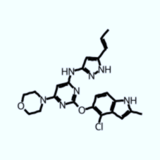 C/C=C/c1cc(Nc2cc(N3CCOCC3)nc(Oc3ccc4[nH]c(C)cc4c3Cl)n2)n[nH]1